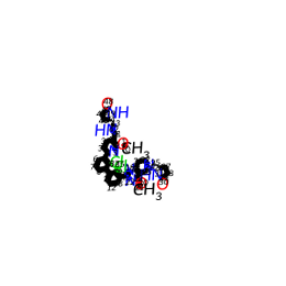 COc1nc(-c2cccc(-c3cccc(-c4nc5c(c(OC)n4)CN(C[C@@H]4CCC(=O)N4)CC5)c3Cl)c2Cl)ccc1CNC[C@@H]1CCC(=O)N1